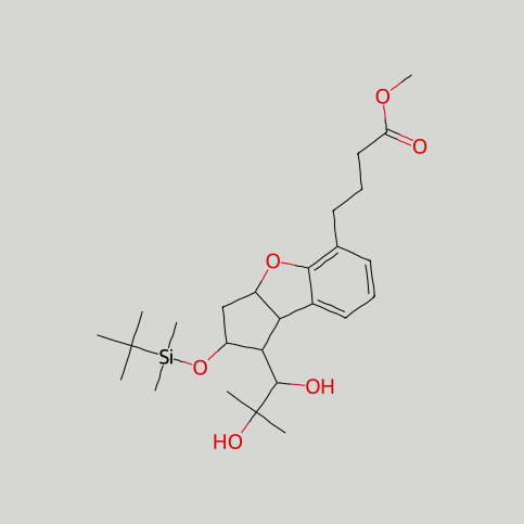 COC(=O)CCCc1cccc2c1OC1CC(O[Si](C)(C)C(C)(C)C)C(C(O)C(C)(C)O)C21